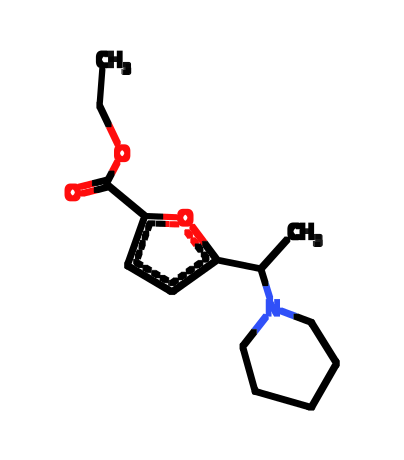 CCOC(=O)c1ccc(C(C)N2CCCCC2)o1